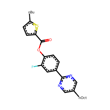 CCCCCCCCc1cnc(-c2ccc(OC(=O)c3ccc(CCCC)s3)c(F)c2)nc1